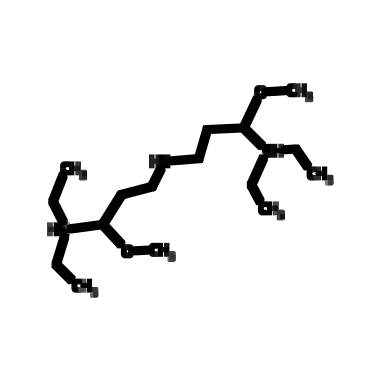 CC[SiH](CC)C(CCNCCC(OC)[SiH](CC)CC)OC